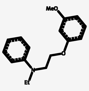 CCN(CCOc1cccc(OC)c1)c1ccccc1